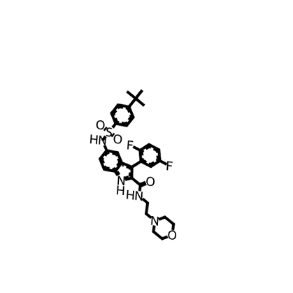 CC(C)(C)c1ccc(S(=O)(=O)Nc2ccc3[nH]c(C(=O)NCCN4CCOCC4)c(-c4cc(F)ccc4F)c3c2)cc1